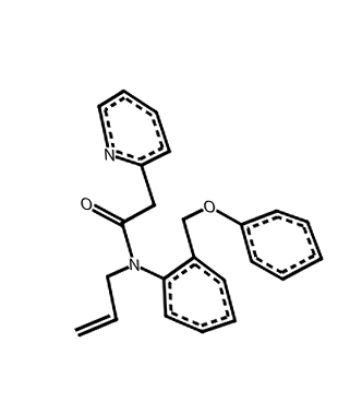 C=CCN(C(=O)Cc1ccccn1)c1ccccc1COc1ccccc1